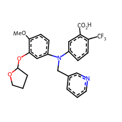 COc1ccc(N(Cc2cccnc2)c2ccc(C(F)(F)F)c(C(=O)O)c2)cc1OC1CCCO1